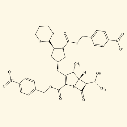 C[C@@H](O)[C@H]1C(=O)N2C(C(=O)OCc3ccc([N+](=O)[O-])cc3)=C(S[C@H]3C[C@@H](C4SCCCS4)N(C(=O)OCc4ccc([N+](=O)[O-])cc4)C3)[C@H](C)[C@H]12